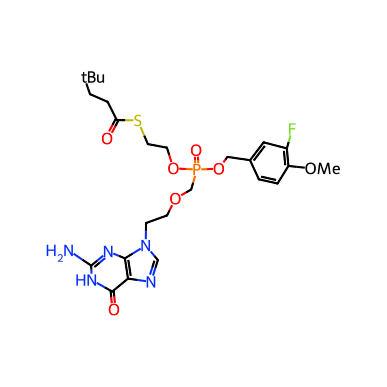 COc1ccc(COP(=O)(COCCn2cnc3c(=O)[nH]c(N)nc32)OCCSC(=O)CCC(C)(C)C)cc1F